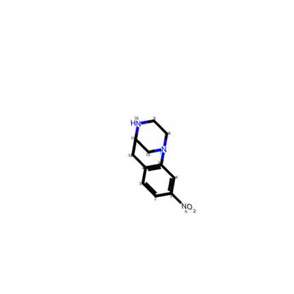 O=[N+]([O-])c1ccc2c(c1)N1CCNC(C2)C1